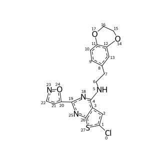 Clc1cc2c(NCCc3ccc4c(c3)OCCO4)nc(-c3ccno3)nc2s1